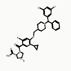 O=C(O)[C@@H]1C[C@@H](F)CN1C(=O)c1cc(C2CC2)c(OCC2CCN(C(c3ccccc3)c3cc(Cl)cc(Cl)c3)CC2)cc1F